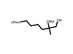 CCCCCCCCCC(C)(CO)OC